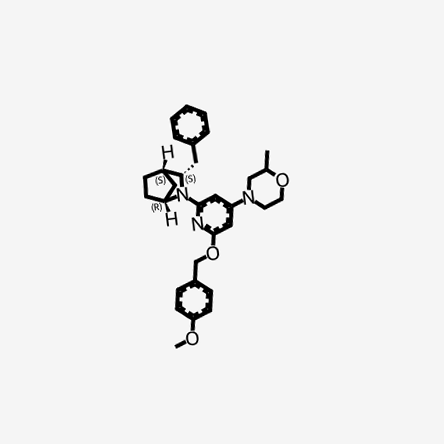 COc1ccc(COc2cc(N3CCOC(C)C3)cc(N3[C@@H]4CC[C@@H](C4)[C@@H]3Cc3ccccc3)n2)cc1